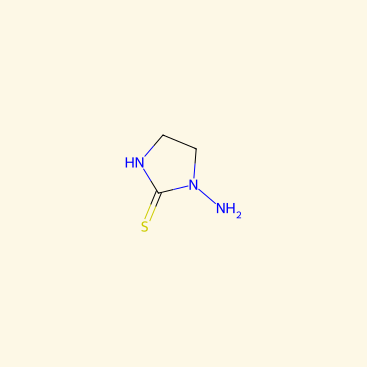 NN1CCNC1=S